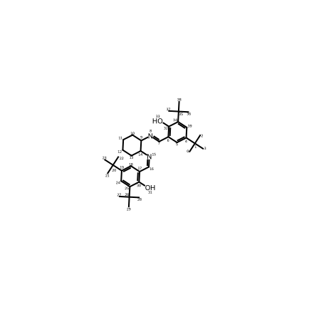 CC(C)(C)c1cc(C=NC2CCCCC2/N=C\c2cc(C(C)(C)C)cc(C(C)(C)C)c2O)c(O)c(C(C)(C)C)c1